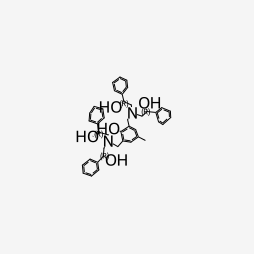 Cc1cc(CN(C[C@H](O)c2ccccc2)C[C@H](O)c2ccccc2)c(O)c(CN(C[C@H](O)c2ccccc2)C[C@H](O)c2ccccc2)c1